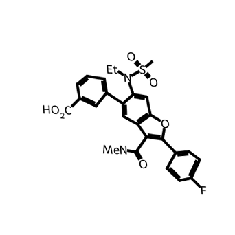 CCN(c1cc2oc(-c3ccc(F)cc3)c(C(=O)NC)c2cc1-c1cccc(C(=O)O)c1)S(C)(=O)=O